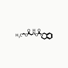 CCOC(=O)CNOC(=O)N1CCc2ccccc2C1